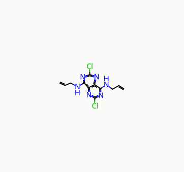 C=CCNc1nc(Cl)nc2c(NCC=C)nc(Cl)nc12